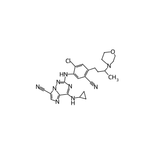 CC(CCc1cc(Cl)c(Nc2nc(NC3CC3)c3ncc(C#N)n3n2)cc1C#N)N1CCOCC1